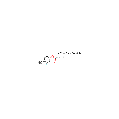 N#C/C=C/CCC1CCC(C(=O)Oc2ccc(C#N)c(F)c2)CC1